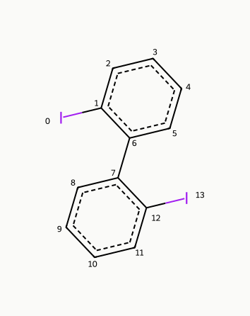 Ic1ccccc1-c1ccccc1I